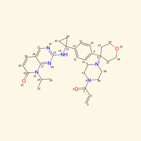 C=CC(=O)N1CCN(C2(c3ccc(C4(Nc5ncc6ccc(=O)n(C(C)C)c6n5)CC4)cc3)CCOCC2)CC1